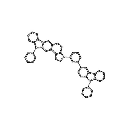 c1ccc(-n2c3ccccc3c3cc(-c4cccc(-n5ccc6c7cc8c(cc7ccc65)c5ccccc5n8-c5ccccc5)c4)ccc32)cc1